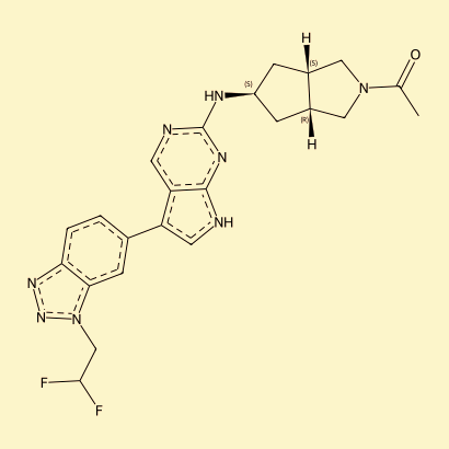 CC(=O)N1C[C@H]2C[C@H](Nc3ncc4c(-c5ccc6nnn(CC(F)F)c6c5)c[nH]c4n3)C[C@H]2C1